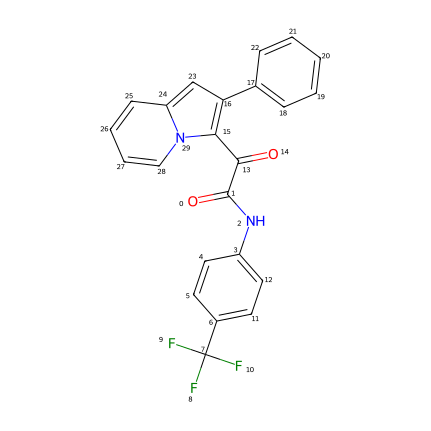 O=C(Nc1ccc(C(F)(F)F)cc1)C(=O)c1c(-c2ccccc2)cc2ccccn12